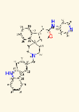 O=C(CC1CC2(CCN(Cc3ccc4[nH]c5ccccc5c4c3)CC2)c2ccccc21)Nc1ccncc1